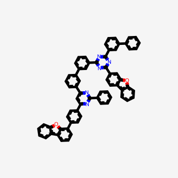 c1ccc(-c2cccc(-c3nc(-c4cccc(-c5cccc(-c6cc(-c7ccc(-c8cccc9c8oc8ccccc89)cc7)nc(-c7ccccc7)n6)c5)c4)nc(-c4ccc5c(c4)oc4ccccc45)n3)c2)cc1